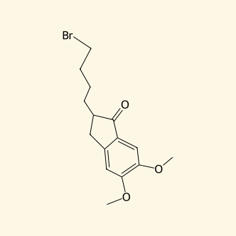 COc1cc2c(cc1OC)C(=O)C(CCCCBr)C2